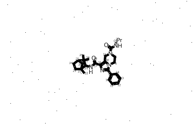 CC(C)NC(=O)N1CCn2c(-c3ccccc3)nc(C(=O)NC3C4(C)CCC(C4)C3(C)C)c2C1